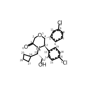 O=C1CO[C@H](c2cccc(Cl)c2)[C@@H](c2ccc(Cl)cc2)N1[C@H](CO)C1CCC1